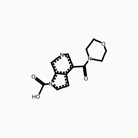 O=C(c1cncc2c1ccn2C(=O)O)N1CCOCC1